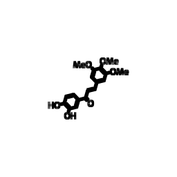 COc1cc(/C=C/C(=O)c2ccc(O)c(O)c2)cc(OC)c1OC